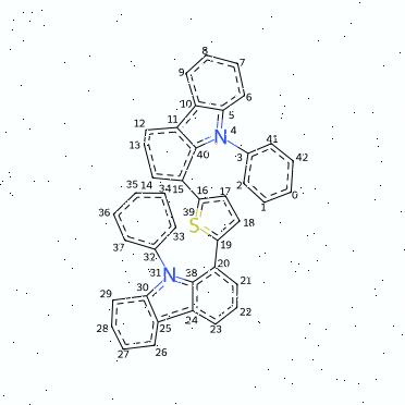 c1ccc(-n2c3ccccc3c3cccc(-c4ccc(-c5cccc6c7ccccc7n(-c7ccccc7)c56)s4)c32)cc1